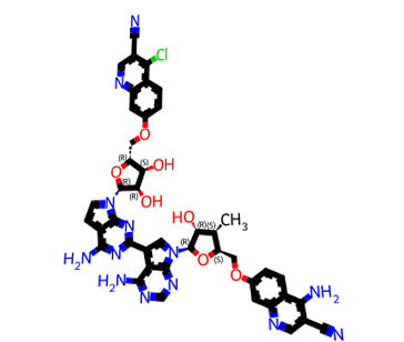 C[C@H]1[C@@H](O)[C@H](n2cc(-c3nc(N)c4ccn([C@@H]5O[C@H](COc6ccc7c(Cl)c(C#N)cnc7c6)[C@@H](O)[C@H]5O)c4n3)c3c(N)ncnc32)O[C@@H]1COc1ccc2c(N)c(C#N)cnc2c1